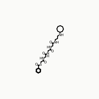 O=C(CNC(=O)CNC(=O)CNC(=O)CSC(=O)c1ccccc1)NCCCNC1CCCCCCC1